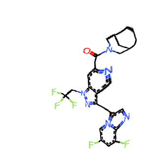 O=C(c1cc2c(cn1)c(-c1cnc3c(F)cc(F)cn13)nn2CC(F)(F)F)N1CC2CCC(C2)C1